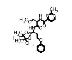 COC[C@@H](NC(=O)c1ccnc(C)n1)C(=O)N[C@@H](CCOc1ccccc1)B1OC(C)(C)C(C)(C)O1